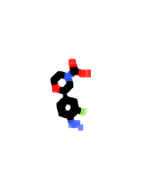 Nc1ccc([C@H]2CN(C(=O)O)CCO2)cc1F